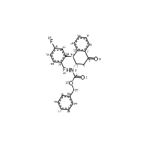 O=C(N[C@H]1CC(=O)c2ccccc2[C@@H]1c1cc(F)ccc1F)OCc1ccccc1